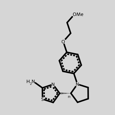 COCCOc1ccc(N2CCC[C@@H]2c2csc(N)n2)cc1